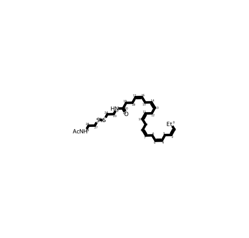 CC/C=C\C/C=C\C/C=C\C/C=C\C/C=C\C/C=C\CCC(=O)NCCSSCCNC(C)=O